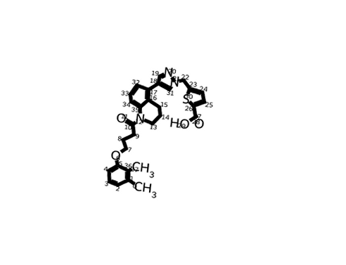 Cc1cccc(OCCCC(=O)N2CCCc3c(-c4cnn(Cc5ccc(C(=O)O)s5)c4)cccc32)c1C